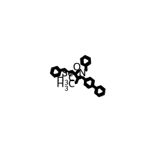 CCC1=C(c2ccc(-c3ccccc3)cc2)N(Cc2ccccc2)C(=O)C1(C)C[Se]Cc1ccccc1